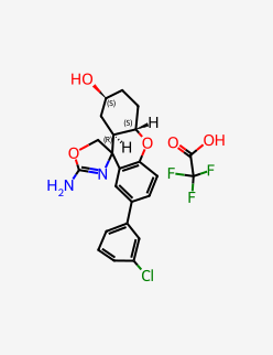 NC1=NC2(CO1)c1cc(-c3cccc(Cl)c3)ccc1O[C@H]1CC[C@H](O)C[C@@H]12.O=C(O)C(F)(F)F